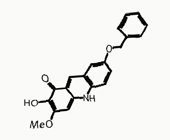 COc1cc2[nH]c3ccc(OCc4ccccc4)cc3cc-2c(=O)c1O